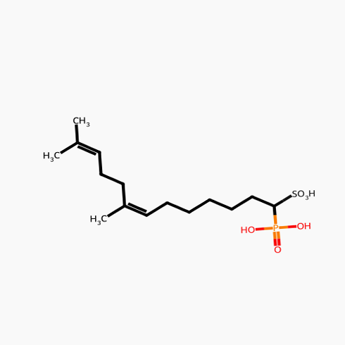 CC(C)=CCCC(C)=CCCCCCC(P(=O)(O)O)S(=O)(=O)O